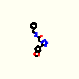 O=C(Cn1nnnc1-c1ccc2c(c1)OCO2)NN=Cc1ccccc1